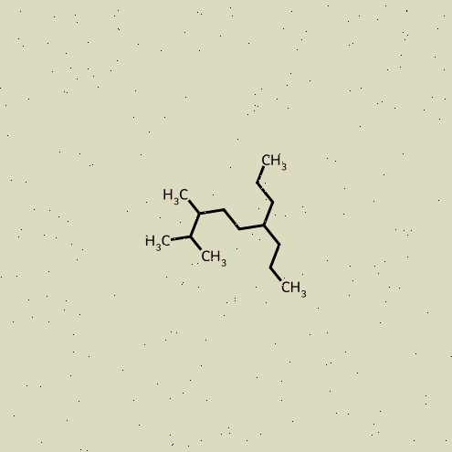 CCCC(CCC)CCC(C)C(C)C